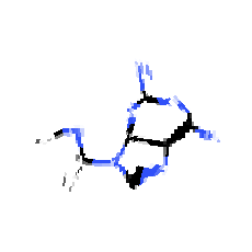 CN[C@@H](C)n1cnc2c(N)nc(N)nc21